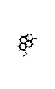 C=Cc1ccc2c(OC)ccc3cc/c(=C/C)c1c32